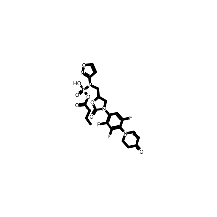 CCCC(=O)OP(=O)(O)N(CC1CN(c2cc(F)c(N3C=CC(=O)CC3)c(F)c2F)C(=O)O1)c1ccon1